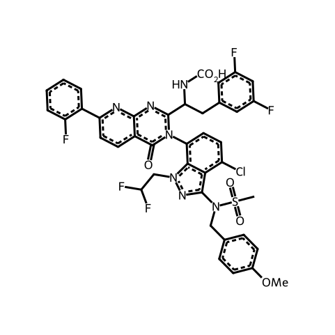 COc1ccc(CN(c2nn(CC(F)F)c3c(-n4c(C(Cc5cc(F)cc(F)c5)NC(=O)O)nc5nc(-c6ccccc6F)ccc5c4=O)ccc(Cl)c23)S(C)(=O)=O)cc1